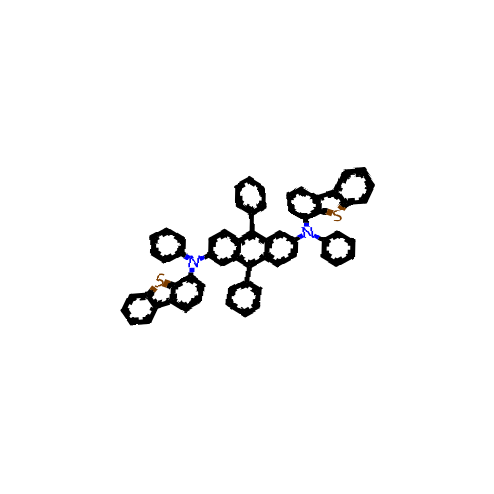 c1ccc(-c2c3ccc(N(c4ccccc4)c4cccc5c4sc4ccccc45)cc3c(-c3ccccc3)c3ccc(N(c4ccccc4)c4cccc5c4sc4ccccc45)cc23)cc1